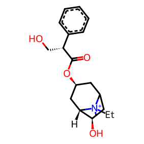 CC[N+]1(C)C2C[C@H](OC(=O)[C@H](CO)c3ccccc3)C[C@H]1[C@H](O)C2